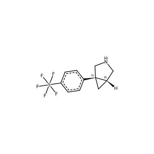 FS(F)(F)(F)(F)c1ccc([C@@]23CNC[C@@H]2C3)cc1